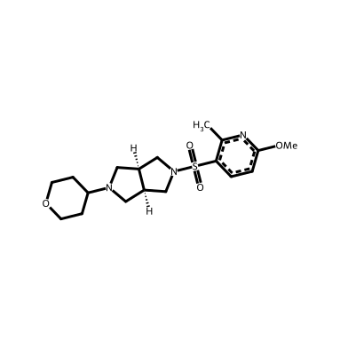 COc1ccc(S(=O)(=O)N2C[C@H]3CN(C4CCOCC4)C[C@H]3C2)c(C)n1